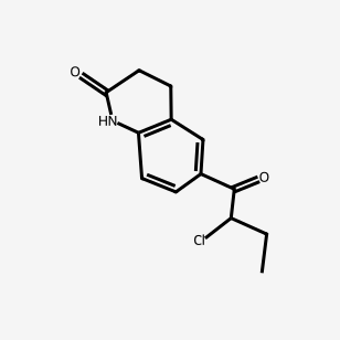 CCC(Cl)C(=O)c1ccc2c(c1)CCC(=O)N2